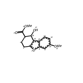 COC(=O)C1CCc2oc3cc(OC)ccc3c2C1O